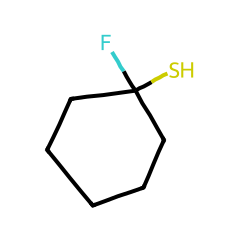 FC1(S)CCCCC1